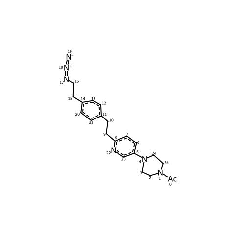 CC(=O)N1CCN(c2ccc(CCc3ccc(CCN=[N+]=[N-])cc3)nc2)CC1